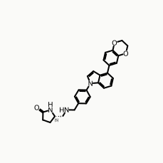 O=C1CC[C@@H](CNCc2ccc(-n3ccc4c(-c5ccc6c(c5)OCCO6)cccc43)cc2)N1